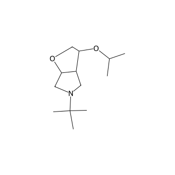 CC(C)OC1COC2CN(C(C)(C)C)CC21